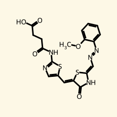 COc1ccccc1N=NC=c1[nH]c(=O)c(=Cc2cnc(NC(=O)CCC(=O)O)s2)s1